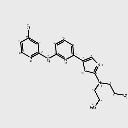 OCCN(CCO)c1ncc(-c2cccc(Nc3cc(Cl)ccn3)n2)s1